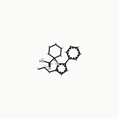 CCCc1ccc(-c2ccccc2)n1C1(C(=O)O)CCCCC1